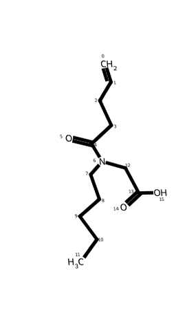 C=CCCC(=O)N(CCCCC)CC(=O)O